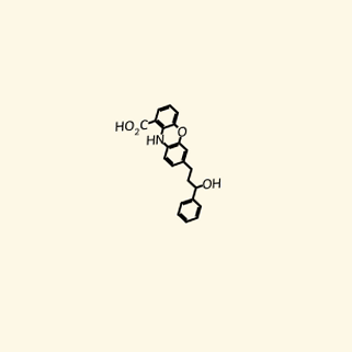 O=C(O)c1cccc2c1Nc1ccc(CCC(O)c3ccccc3)cc1O2